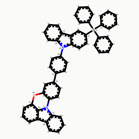 c1ccc([Si](c2ccccc2)(c2ccccc2)c2ccc3c(c2)c2ccccc2n3-c2ccc(-c3ccc4c(c3)Oc3cccc5c6ccccc6n-4c35)cc2)cc1